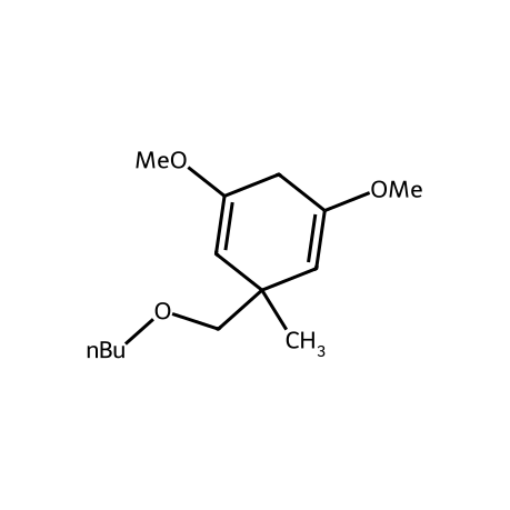 CCCCOCC1(C)C=C(OC)CC(OC)=C1